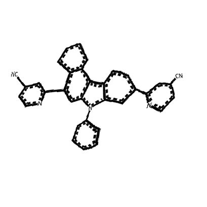 N#Cc1ccnc(-c2ccc3c4c5ccccc5c(-c5cc(C#N)ccn5)cc4n(-c4ccccc4)c3c2)c1